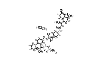 Cl.Cl.NC1CCC(N(C(=O)O)c2cc(CCC(=O)Nc3ccc(CNC[C@@H](O)c4ccc(O)c5[nH]c(=O)ccc45)cc3)ccc2-c2ccccc2)CC1